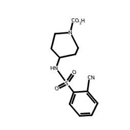 N#Cc1ccccc1S(=O)(=O)NC1CCN(C(=O)O)CC1